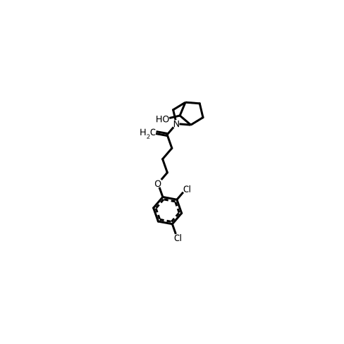 C=C(CCCOc1ccc(Cl)cc1Cl)N1CC2CCC1C2O